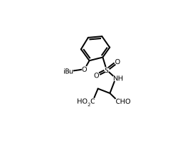 CCC(C)Oc1ccccc1S(=O)(=O)NC(C=O)CC(=O)O